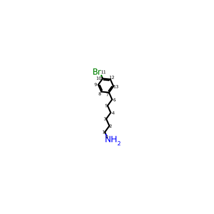 NCCCCCCc1ccc(Br)cc1